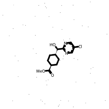 COC(=O)[C@H]1CC[C@H](C(O)c2ncc(Cl)cn2)CC1